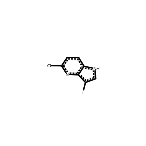 Clc1ccc2[nH]cc(I)c2n1